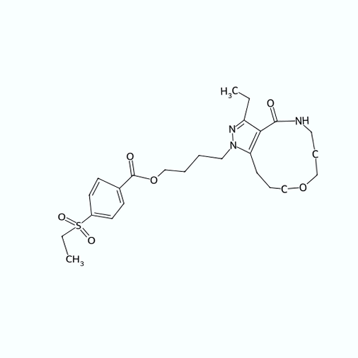 CCc1nn(CCCCOC(=O)c2ccc(S(=O)(=O)CC)cc2)c2c1C(=O)NCCCOCCC2